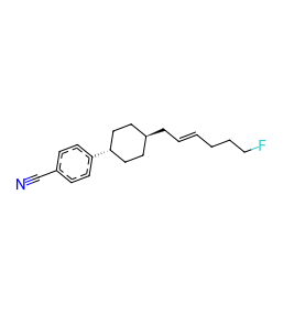 N#Cc1ccc([C@H]2CC[C@H](C/C=C/CCCF)CC2)cc1